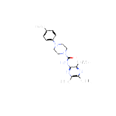 CCCCc1ccc(N2CCN(C(=O)Nc3nc(C)c(C)nc3OC)CC2)cc1